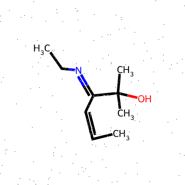 C/C=C\C(=N/CC)C(C)(C)O